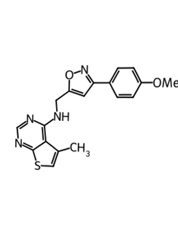 COc1ccc(-c2cc(CNc3ncnc4scc(C)c34)on2)cc1